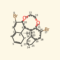 BrC1=CC2=CC=CC[C@@H]2c2c1occoc1c(Br)cc3c(c21)CC=CC3